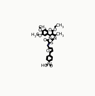 CCOC(=O)C1=C(C)N=c2s/c(=C\c3ccc(-c4ccc([N+](=O)O)cc4)o3)c(=O)n2C1c1ccc(OC)c(OC)c1